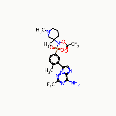 Cc1ccc(S(=O)(=O)N(OC(=O)C(F)(F)F)C2(C)CCCN(C)C2)cc1-c1cnc2c(N)nc(C(F)(F)F)nn12